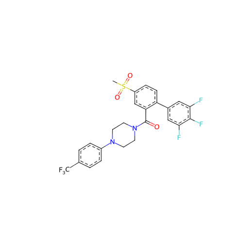 CS(=O)(=O)c1ccc(-c2cc(F)c(F)c(F)c2)c(C(=O)N2CCN(c3ccc(C(F)(F)F)cc3)CC2)c1